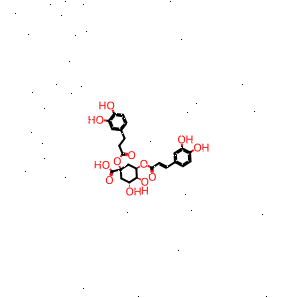 O=C(/C=C/c1ccc(O)c(O)c1)O[C@@H]1C[C@@](OC(=O)CCc2ccc(O)c(O)c2)(C(=O)O)C[C@@H](O)[C@@H]1O